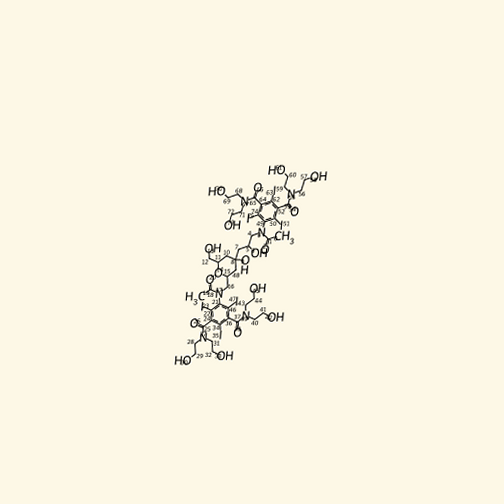 CC(=O)N(CC(O)CC1(O)CC(CO)OC(CN(C(C)=O)c2c(I)c(C(=O)N(CCO)CCO)c(I)c(C(=O)N(CCO)CCO)c2I)C1)c1c(I)c(C(=O)N(CCO)CCO)c(I)c(C(=O)N(CCO)CCO)c1I